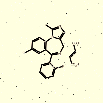 Cc1ncc2n1-c1ccc(Cl)cc1C(c1ccccc1F)=NC2.O=C(O)C=CC(=O)O